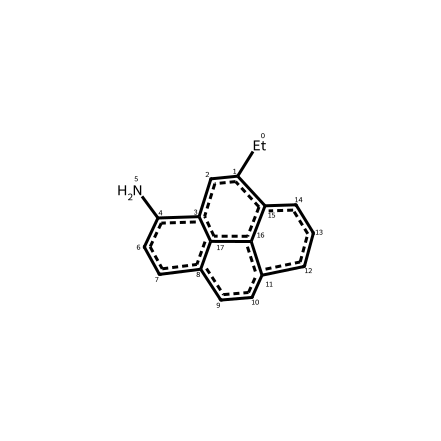 CCc1cc2c(N)ccc3ccc4cccc1c4c32